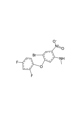 CNc1cc(Oc2ccc(F)cc2F)c(Br)cc1[N+](=O)[O-]